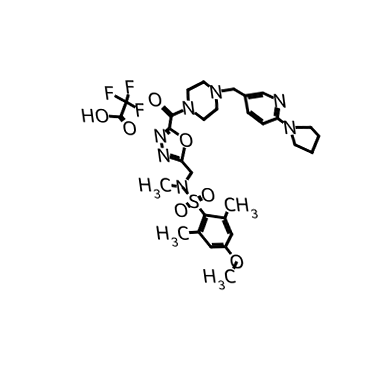 COc1cc(C)c(S(=O)(=O)N(C)Cc2nnc(C(=O)N3CCN(Cc4ccc(N5CCCC5)nc4)CC3)o2)c(C)c1.O=C(O)C(F)(F)F